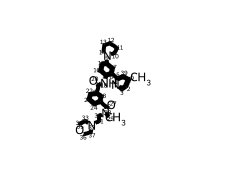 Cc1ccnc(-c2cc(N3CCCCC3)ccc2NC(=O)c2cccc(C(=O)N(C)CCN3CCOCC3)c2)c1